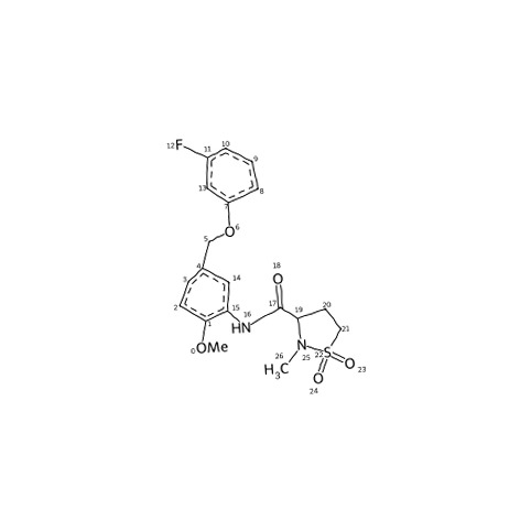 COc1ccc(COc2cccc(F)c2)cc1NC(=O)C1CCS(=O)(=O)N1C